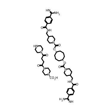 N=C(N)c1ccc(C(=O)NCC2CCN(C(=O)O[C@H]3CCC[C@@H](OC(=O)N4CCC(CNC(=O)c5ccc(C(=N)N)cc5)CC4)CCC3)CC2)cc1.O=C(O)N1CCN(C(=O)CCC(=O)N2CCNCC2)CC1